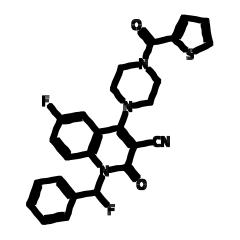 N#Cc1c(N2CCN(C(=O)c3cccs3)CC2)c2cc(F)ccc2n(C(F)c2ccccc2)c1=O